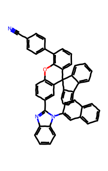 N#Cc1ccc(-c2cccc3c2Oc2ccc(-c4nc5ccccc5n4-c4ccc5ccccc5c4)cc2C32c3ccccc3-c3ccccc32)cc1